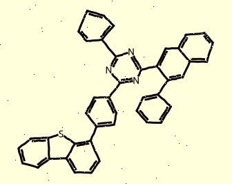 c1ccc(-c2nc(-c3ccc(-c4cccc5c4sc4ccccc45)cc3)nc(-c3cc4ccccc4cc3-c3ccccc3)n2)cc1